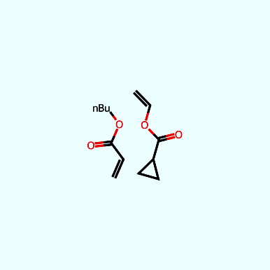 C=CC(=O)OCCCC.C=COC(=O)C1CC1